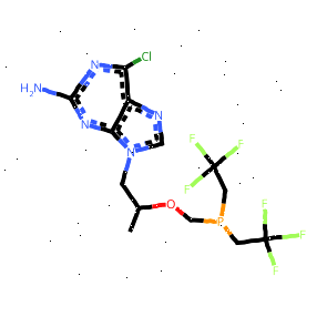 CC(Cn1cnc2c(Cl)nc(N)nc21)OCP(CC(F)(F)F)CC(F)(F)F